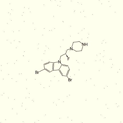 F[C@H](CN1CCNCC1)Cn1c2ccc(Br)cc2c2cc(Br)ccc21